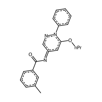 CCCOc1cc(=NC(=O)c2cccc(C)c2)cnn1-c1ccccc1